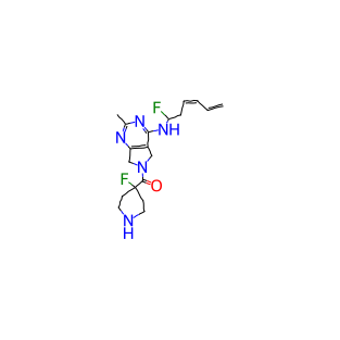 C=C/C=C\CC(F)Nc1nc(C)nc2c1CN(C(=O)C1(F)CCNCC1)C2